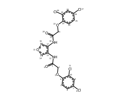 O=C(COc1ccc(Cl)cc1Cl)Nc1nonc1NC(=O)COc1ccc(Cl)cc1Cl